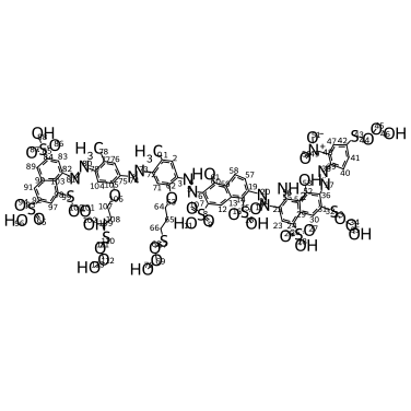 Cc1cc(N=Nc2c(S(=O)(=O)O)cc3c(S(=O)(=O)O)c(N=Nc4cc(S(=O)(=O)O)c5cc(SOOO)c(N=Nc6ccc(SOOO)cc6[N+](=O)[O-])c(O)c5c4N)ccc3c2O)c(OCCCSOOO)cc1N=Nc1cc(C)c(N=Nc2cc(S(=O)(=O)O)cc3cc(S(=O)(=O)O)cc(SOOO)c23)cc1OCCCSOOO